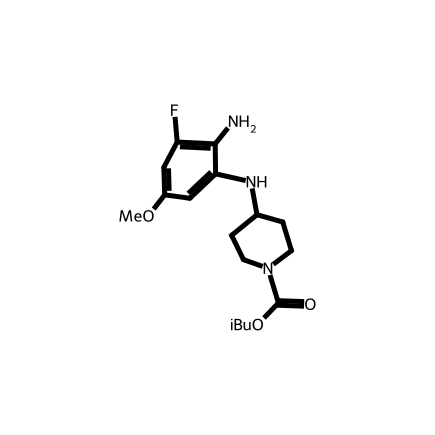 COc1cc(F)c(N)c(NC2CCN(C(=O)OCC(C)C)CC2)c1